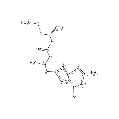 CN(CC(=O)N[C@@H](CCC(=O)O)C(=O)O)Cc1cc2c(=O)[nH]c(N)nc2[nH]1